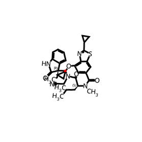 CC[C@@]1(CN(CC#N)C(=O)[C@H](CC(C)C)N(C)C(=O)c2cc(OC3CC3)c3nc(C4CC4)sc3c2)C(=O)Nc2ccccc21